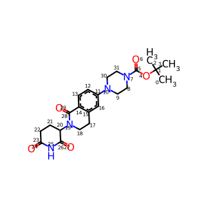 CC(C)(C)OC(=O)N1CCN(c2ccc3c(c2)CCN(C2CCC(=O)NC2=O)C3=O)CC1